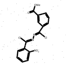 COC(=O)c1cccc(C(Cl)=NN=C(Cl)c2ccccc2[N+](=O)[O-])c1